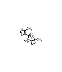 Cc1scnc1C(=O)NC1CCC1(C)C.[Ar]